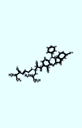 CN(C)C(=O)/C=C/CC[C@@H](CN(C)C(=O)O)C(=O)Nc1cncn(Cc2nc3cc(F)ccc3n2Cc2ccccc2)c1=O